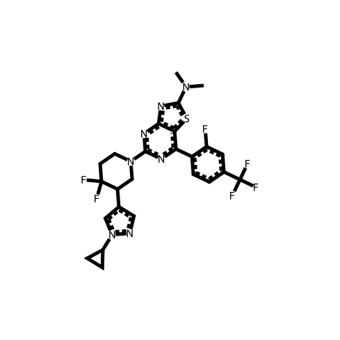 CN(C)c1nc2nc(N3CCC(F)(F)C(c4cnn(C5CC5)c4)C3)nc(-c3ccc(C(F)(F)F)cc3F)c2s1